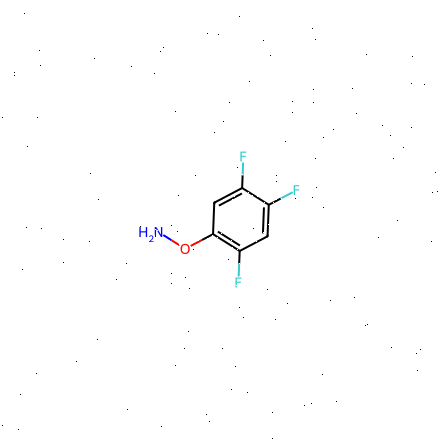 NOc1cc(F)c(F)cc1F